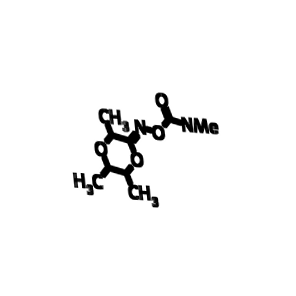 CNC(=O)ON=C1OC(C)C(C)OC1C